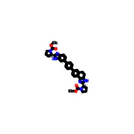 CC(C)(C)OC(=O)N1CCC[C@H]1c1nc2c([nH]1)CCc1cc(-c3ccc(-c4ccc5nc([C@@H]6CCCN6C(=O)OC(C)(C)C)[nH]c5c4)cc3)ccc1-2